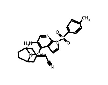 Cc1ccc(S(=O)(=O)n2ccc3c(NN4C5CCC4CC(=CC#N)C5)c(N)cnc32)cc1